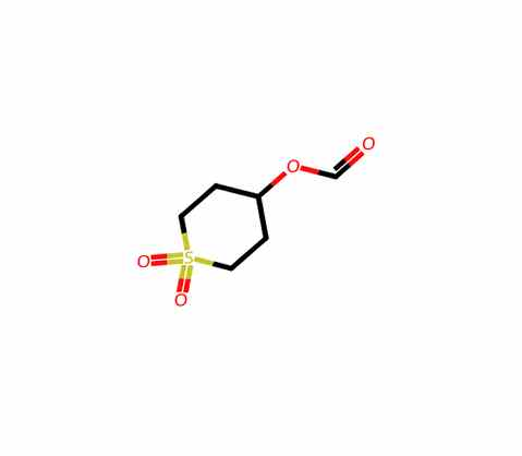 O=COC1CCS(=O)(=O)CC1